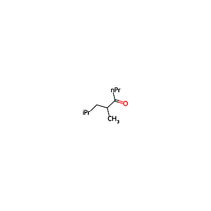 CCCC(=O)C(C)CC(C)C